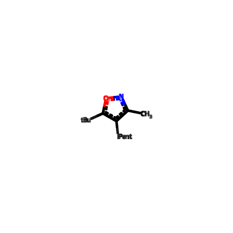 CCCC(C)c1c(C)noc1C(C)(C)C